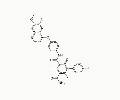 COc1cc2nccc(Oc3ccc(NC(=O)c4c(C)c(C(N)=O)c(C)n(-c5ccc(F)cc5)c4=O)cc3)c2nc1OC